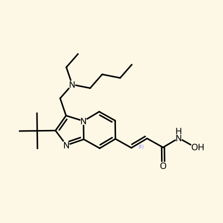 CCCCN(CC)Cc1c(C(C)(C)C)nc2cc(/C=C/C(=O)NO)ccn12